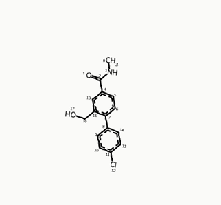 CNC(=O)c1ccc(-c2ccc(Cl)cc2)c(CO)c1